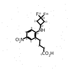 O=C(O)CCCc1cc([N+](=O)[O-])ccc1NC1CC(F)(F)C1